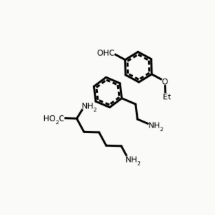 CCOc1ccc(C=O)cc1.NCCCCC(N)C(=O)O.NCCc1ccccc1